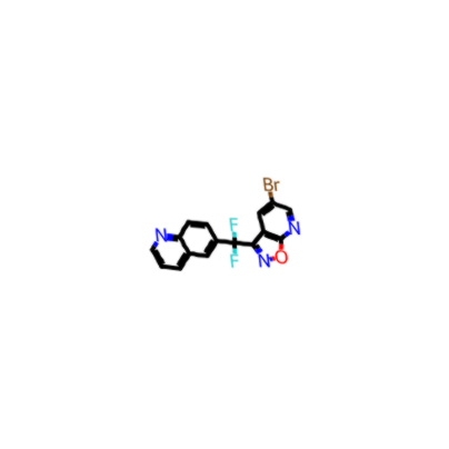 FC(F)(c1ccc2ncccc2c1)c1noc2ncc(Br)cc12